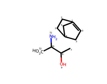 C1=C2CCC(C1)C2.CC(O)C(N)C(=O)O